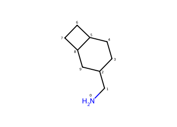 NCC1CCC2CCC2C1